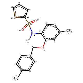 Cc1ccc(COc2cc(C(F)(F)F)ccc2N(C(C)C)S(=O)(=O)c2cccs2)cc1